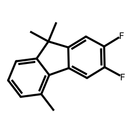 Cc1cccc2c1-c1cc(F)c(F)cc1C2(C)C